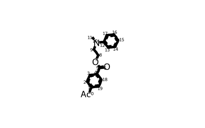 CC(=O)c1ccc(C(=O)OCCN(C)c2ccccc2)cc1